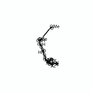 COC(=O)CCCCCCCCCCCCCCCCC(=O)N[C@@H](CCC(=O)NCCOCCOCC(=O)NCCOCCOCC(=O)NC[C@@]12C[C@@H](C(=O)Nc3nc(Br)ccc3C)N(C(=O)Cn3nc(C(C)=O)c4cc(-c5cnc(C)nc5)ncc43)[C@@H]1C2)C(=O)OC